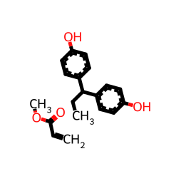 C=CC(=O)OC.CCC(c1ccc(O)cc1)c1ccc(O)cc1